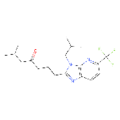 CC(C)CC(=O)CCCc1nc2ccc(C(F)(F)F)nc2n1CC(C)C